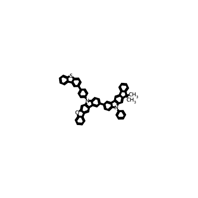 CC1(C)c2ccccc2-c2cc3c4cc(-c5ccc6c(c5)c5cc7c(cc5n6-c5ccc(-c6ccc8sc9ccccc9c8c6)cc5)oc5ccccc57)ccc4n(-c4ccccc4)c3cc21